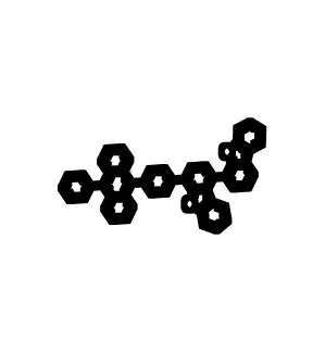 c1ccc(-c2c3ccccc3c(-c3ccc(-c4ccc(-c5cccc6c5oc5ccccc56)c5c4oc4ccccc45)cc3)c3ccccc23)cc1